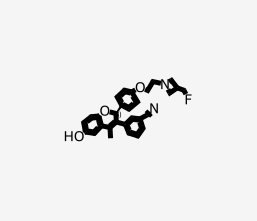 CC1=C(c2cccc(C#N)c2)[C@H](c2ccc(OCCN3CC(CF)C3)cc2)Oc2ccc(O)cc21